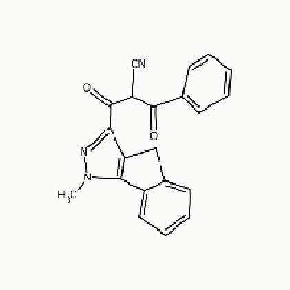 Cn1nc(C(=O)C(C#N)C(=O)c2ccccc2)c2c1-c1ccccc1C2